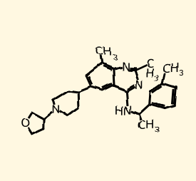 Cc1cccc([C@@H](C)Nc2nc(C)nc3c(C)cc(C4CCN(C5CCOC5)CC4)cc23)c1